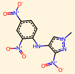 Cn1cc(Nc2ccc([N+](=O)[O-])cc2[N+](=O)[O-])c([N+](=O)[O-])n1